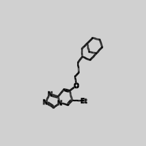 CCc1cn2cnnc2cc1OCCCC1CC2CCCC(C1)C2